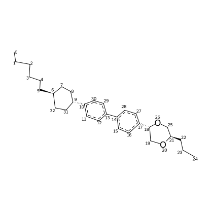 CCCCCC[C@H]1CC[C@H](c2ccc(-c3ccc([C@H]4CO[C@H](CCC)CO4)cc3)cc2)CC1